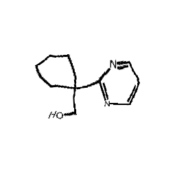 OCC1(c2ncccn2)CCCC1